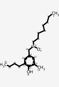 CCCCCCCC[S+]([O-])Cc1cc(C)c(O)c(CCCC)c1